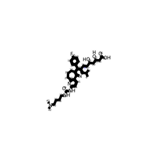 CC(C)c1nc2c(c(-c3ccc(F)cc3)c1/C=C/[C@@H](O)C[C@@H](O)CC(=O)O)CCCc1nc(NC(=O)NCCCCN(C)C)ccc1-2